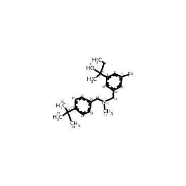 CCC(C)(O)c1cc(F)cc(CN(C)Cc2ccc(C(C)(C)C)cc2)c1